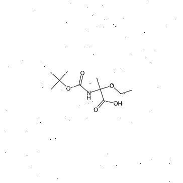 CCOC(C)(NC(=O)OC(C)(C)C)C(=O)O